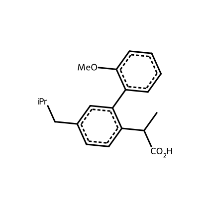 COc1ccccc1-c1cc(CC(C)C)ccc1C(C)C(=O)O